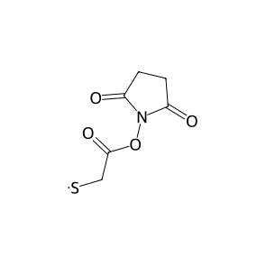 O=C(C[S])ON1C(=O)CCC1=O